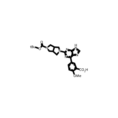 COc1ccc(-c2nc(N3CC4CN(C(=O)OC(C)(C)C)CC4C3)nc3[nH]cnc23)cc1C(=O)O